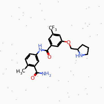 Cc1ccc(NC(=O)c2cc(OCC3CCCN3)cc(C(F)(F)F)c2)cc1C(N)=O